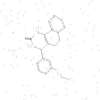 CCOc1cccc(C2NC(=O)NC3=C2CCc2ccccc23)c1